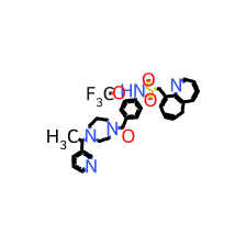 CC(c1cccnc1)N1CCCN(C(=O)c2ccc(NS(=O)(=O)CC3=CC#CCC4=C3N=CC=C=C4)c(OC(F)(F)F)c2)CC1